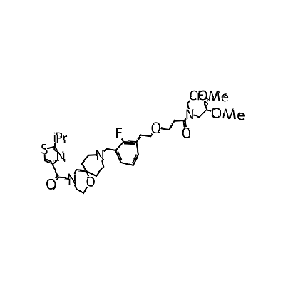 COC(CN(CC(F)(F)F)C(=O)CCOCCc1cccc(CN2CCC3(CC2)CN(C(=O)c2csc(C(C)C)n2)CCO3)c1F)OC